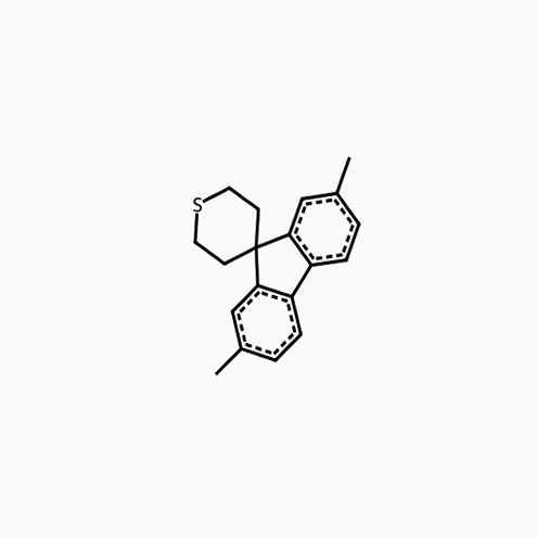 Cc1ccc2c(c1)C1(CCSCC1)c1cc(C)ccc1-2